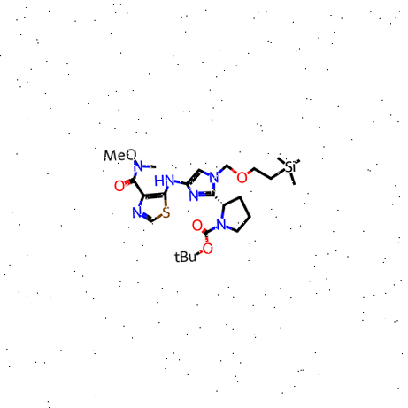 CON(C)C(=O)c1ncsc1Nc1cn(COCC[Si](C)(C)C)c([C@@H]2CCCN2C(=O)OC(C)(C)C)n1